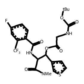 CNC(=O)C(NC(=O)c1ccc(F)cc1C(F)(F)F)C(OC(=O)CNC(=O)OC(C)(C)C)c1ccsc1